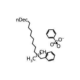 CCCCCCCCCCCCCCCCCC[N+](C)(C)Cc1ccccc1.O=S(=O)([O-])c1ccccc1